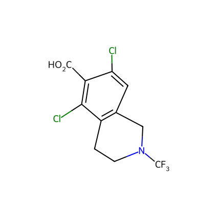 O=C(O)c1c(Cl)cc2c(c1Cl)CCN(C(F)(F)F)C2